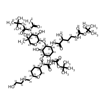 CC(=O)N(C(=O)OC(C)(C)C)[C@@H]1[C@@H](O)[C@@H](O[C@@H]2[C@H](O)[C@H](ON(C(=O)O)[C@@H]3CC[C@@H](CNCCO)OC3)[C@@H](NC(=O)OC(C)(C)C)C[C@H]2NC(=O)C(O)CCNC(=O)OC(C)(C)C)OC[C@]1(C)O